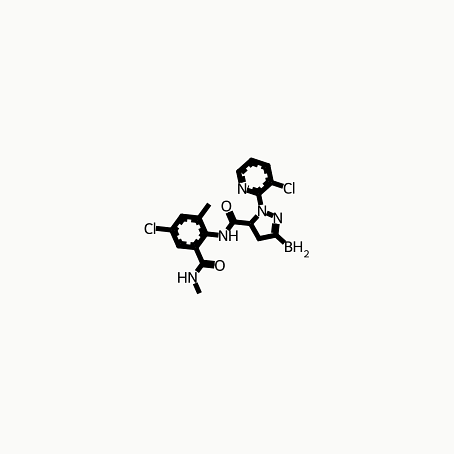 BC1=NN(c2ncccc2Cl)C(C(=O)Nc2c(C)cc(Cl)cc2C(=O)NC)C1